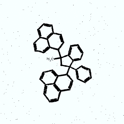 CC1(C2C=Cc3cccc4cccc2c34)CC(c2ccccc2)(C2C=Cc3cccc4cccc2c34)c2ccccc21